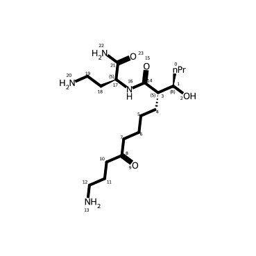 CCC[C@@H](O)[C@H](CCCCC(=O)CCCN)C(=O)N[C@@H](CCN)C(N)=O